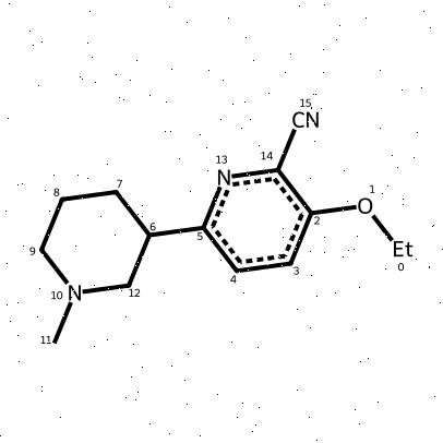 CCOc1ccc(C2CCCN(C)C2)nc1C#N